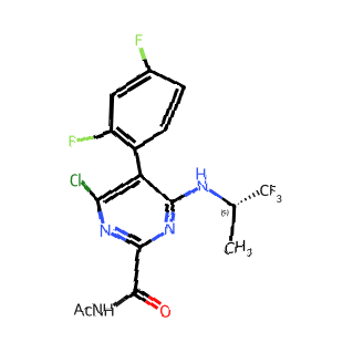 CC(=O)NC(=O)c1nc(Cl)c(-c2ccc(F)cc2F)c(N[C@@H](C)C(F)(F)F)n1